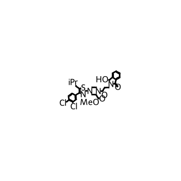 COC(=O)C1CN(c2nc(-c3ccc(Cl)c(Cl)c3)c(CC(C)C)s2)CCN1C(=O)CCN1C(=O)c2ccccc2C1O